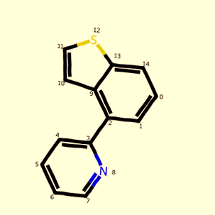 [c]1cc(-c2ccccn2)c2ccsc2c1